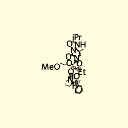 CC[C@H]1O[C@@H](n2cc(C)c(NC(=O)C(C)C)nc2=O)C(OCCOC)[C@H]1O[P@]1O[C@@](C)(c2ccccc2)[C@H]2CCCN21